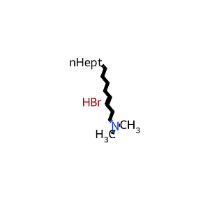 Br.CCCCCCCCCCCC=CCCN(C)C